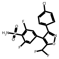 NS(=O)(=O)c1c(F)cc(-c2c(-c3ccc(Cl)cc3)noc2C(F)F)cc1F